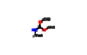 CCCCCNB(OC=O)OC=O